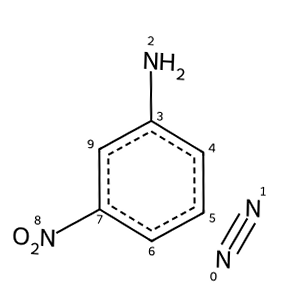 N#N.Nc1cccc([N+](=O)[O-])c1